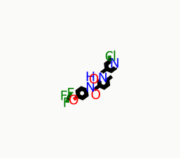 Cc1ccc(C(=O)Nc2ccc(OC(F)(F)F)cc2)c(=O)n1Cc1ccnc(Cl)c1